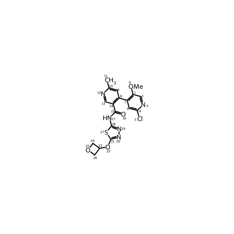 COc1cnc(Cl)cc1-c1cc(C)ncc1C(=O)Nc1nnc(OC2COC2)s1